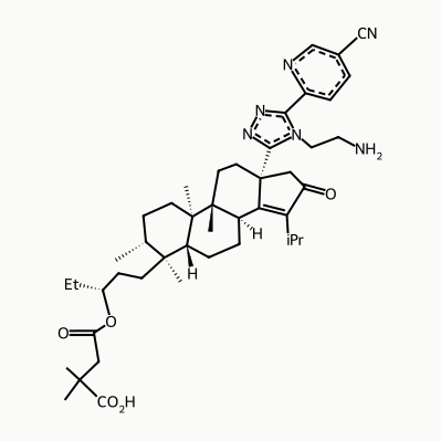 CC[C@H](CC[C@@]1(C)[C@H](C)CC[C@]2(C)[C@@H]1CC[C@@H]1C3=C(C(C)C)C(=O)C[C@]3(c3nnc(-c4ccc(C#N)cn4)n3CCN)CC[C@]12C)OC(=O)CC(C)(C)C(=O)O